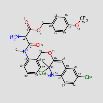 CN(C(=O)C(N)C(=O)OCc1ccc(OC(F)(F)F)cc1)c1ccccc1COC1=Cc2cc(Cl)ccc2NC1(C)Cl